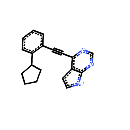 C(#Cc1ncnc2[nH]ccc12)c1ccccc1C1CCCC1